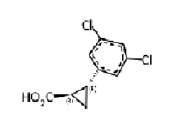 O=C(O)[C@@H]1C[C@H]1c1cc(Cl)cc(Cl)c1